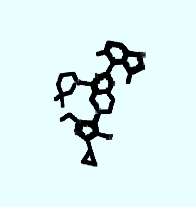 CCn1nc(C2CC2)c(Cl)c1N1CCc2nc(-c3c(C)ccc4[nH]nc(C)c34)nc(N3CCCC(C)(C)C3)c2C1